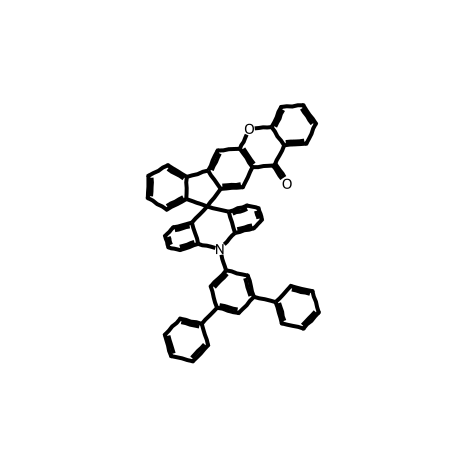 O=c1c2ccccc2oc2cc3c(cc12)C1(c2ccccc2-3)c2ccccc2N(c2cc(-c3ccccc3)cc(-c3ccccc3)c2)c2ccccc21